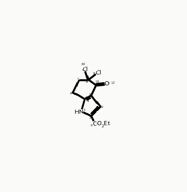 CCOC(=O)c1cc2c([nH]1)CCC(Cl)(Cl)C2=O